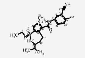 CCN=S1(=O)NC(C(C)C)CCc2c1cn(C)c2C(=O)Nc1ccc(F)c(C#N)c1